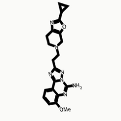 COc1cccc2c1nc(N)n1nc(CCN3CCc4nc(C5CC5)oc4C3)nc21